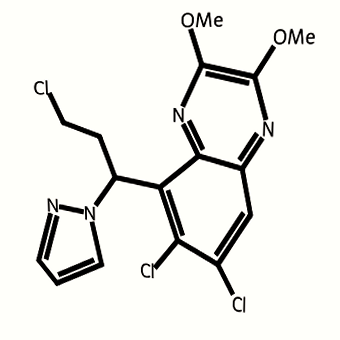 COc1nc2cc(Cl)c(Cl)c(C(CCCl)n3cccn3)c2nc1OC